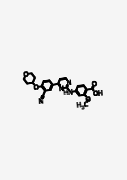 COc1cc(Nc2nccc(-c3ccc(OC4CCOCC4)c(C#N)c3)n2)ccc1C(=O)O